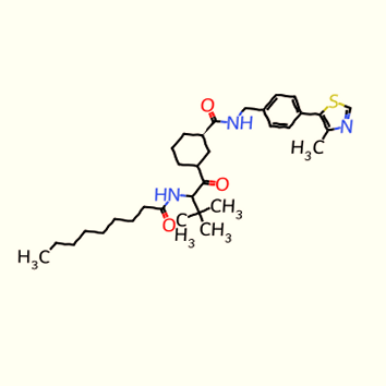 CCCCCCCCC(=O)NC(C(=O)C1CCC[C@@H](C(=O)NCc2ccc(-c3scnc3C)cc2)C1)C(C)(C)C